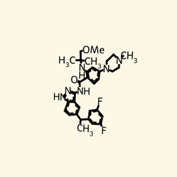 COCC(C)(C)Nc1cc(N2CCN(C)CC2)ccc1C(=O)Nc1n[nH]c2ccc(C(C)c3cc(F)cc(F)c3)cc12